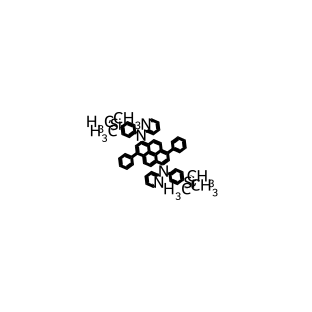 C[Si](C)(C)c1ccc(N(c2ccccn2)c2cc(-c3ccccc3)c3ccc4c(N(c5ccc([Si](C)(C)C)cc5)c5ccccn5)cc(-c5ccccc5)c5ccc2c3c54)cc1